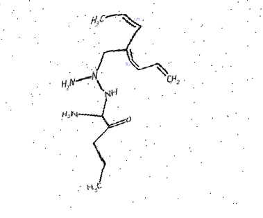 C=C/C=C(\C=C/C)CN(N)NC(N)C(=O)CCC